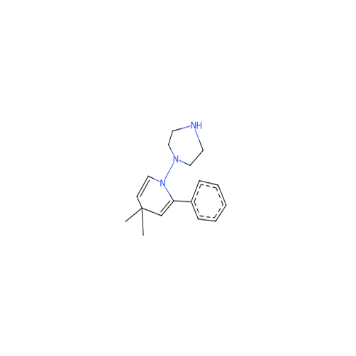 CC1(C)C=CN(N2CCNCC2)C(c2ccccc2)=C1